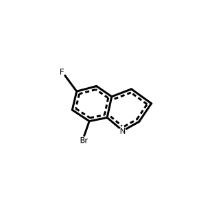 Fc1cc(Br)c2ncccc2c1